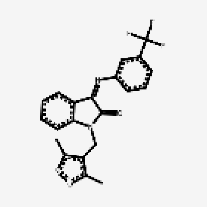 Cc1noc(C)c1CN1C(=O)/C(=N\c2cccc(C(F)(F)F)c2)c2ccccc21